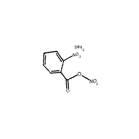 O=C(O[N+](=O)[O-])c1ccccc1[N+](=O)[O-].[SrH2]